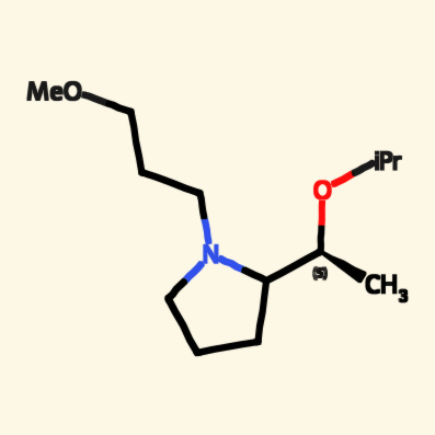 COCCCN1CCCC1[C@H](C)OC(C)C